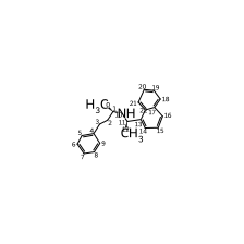 C[C@H](CCc1ccccc1)N[C@H](C)c1cccc2ccccc12